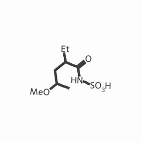 CCC(CC(C)OC)C(=O)NS(=O)(=O)O